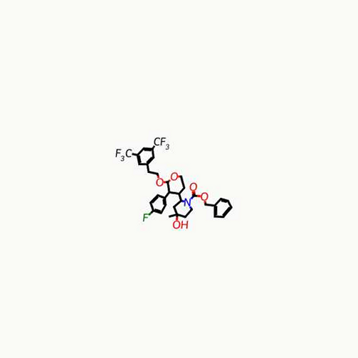 CC1(O)CCN(C(=O)OCc2ccccc2)C(C2CCOC(OCCc3cc(C(F)(F)F)cc(C(F)(F)F)c3)C2c2ccc(F)cc2)C1